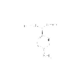 CCCCCCC(CCCCC)c1ccc(N)cc1